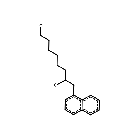 ClCCCCCCC(Cl)Cc1cccc2ccccc12